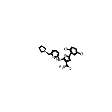 NC(=O)c1cc(-c2cc(Cl)ccc2Cl)sc1Nc1cccc(CN2CCCC2)n1